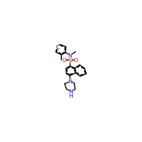 Cc1ccccc1N(C)S(=O)(=O)c1ccc(N2CCNCC2)c2ccccc12